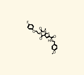 COc1ccc(CNC(=O)c2cc3c(=O)n(CCOc4ccc(F)cc4)c(=O)n(C)c3s2)cc1